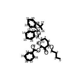 CCCCO[C@@H]1CC[C@@H](CO[Si](c2ccccc2)(c2ccccc2)C(C)(C)C)OC(OC(=O)c2ccccc2)C1=O